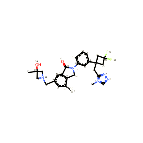 Cn1cnnc1CC1(c2cccc(N3Cc4c(cc(CN5CC(C)(O)C5)cc4C(F)(F)F)C3=O)c2)CC(F)(F)C1